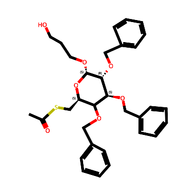 CC(=O)SC[C@H]1O[C@H](OCCCO)[C@H](OCc2ccccc2)[C@@H](OCc2ccccc2)C1OCc1ccccc1